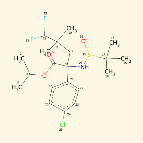 CC(C)OC(=O)C(CC(C)(C)C(F)F)(N[S+]([O-])C(C)(C)C)c1ccc(Cl)cc1